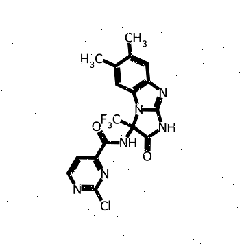 Cc1cc2nc3n(c2cc1C)C(NC(=O)c1ccnc(Cl)n1)(C(F)(F)F)C(=O)N3